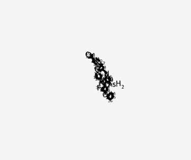 CC(C)(/C=C(/C#N)C(=O)N1CCC[C@H](n2nc(-c3ccc(Oc4ccccc4)cc3F)c3c([AsH2])ncnc32)C1)N1CCN(C2COC2)CC1